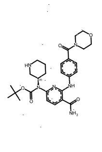 CC(C)(C)OC(=O)N(c1ccc(C(N)=O)c(Nc2ccc(C(=O)N3CCOCC3)cc2)n1)[C@@H]1CCCNC1